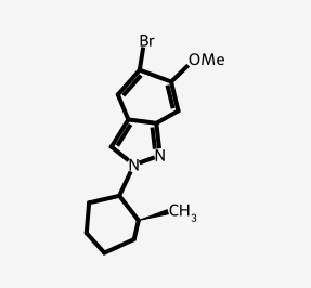 COc1cc2nn(C3CCCC[C@@H]3C)cc2cc1Br